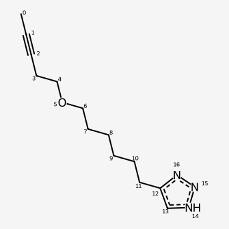 CC#CCCOCCCCCCc1c[nH]nn1